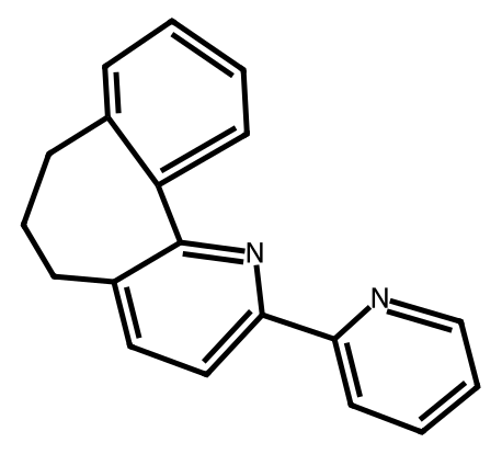 c1ccc(-c2ccc3c(n2)-c2ccccc2CCC3)nc1